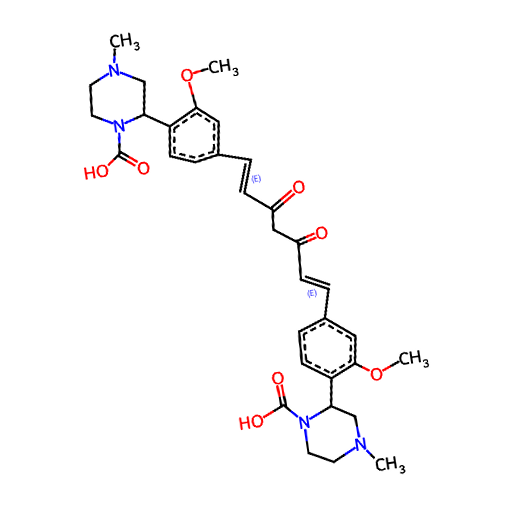 COc1cc(/C=C/C(=O)CC(=O)/C=C/c2ccc(C3CN(C)CCN3C(=O)O)c(OC)c2)ccc1C1CN(C)CCN1C(=O)O